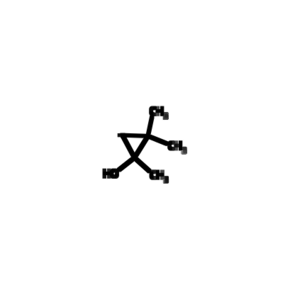 CC1(C)[CH]C1(C)O